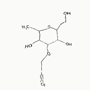 C#CCOC1C(O)C(C)OC(CO)C1O